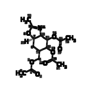 CC(=O)OCC1C[C@H]2OC(C)=NC2C(OC(C)=O)C1OC(C)=O